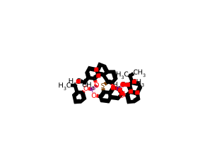 CC(C)c1ccccc1OP(Oc1ccccc1C(C)C)Oc1ccc2ccccc2c1Sc1c(OP(Oc2ccccc2C(C)C)Oc2ccccc2C(C)C)ccc2ccccc12